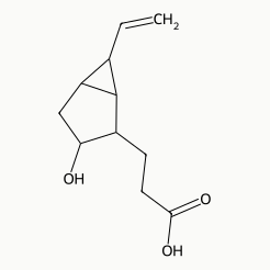 C=CC1C2CC(O)C(CCC(=O)O)C12